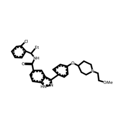 CCC(NC(=O)c1ccc2[nH]nc(-c3ccc(OC4CCN(CCOC)CC4)cc3)c2c1)c1ccccc1Cl